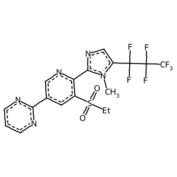 CCS(=O)(=O)c1cc(-c2ncccn2)cnc1-c1ncc(C(F)(F)C(F)(F)C(F)(F)F)n1C